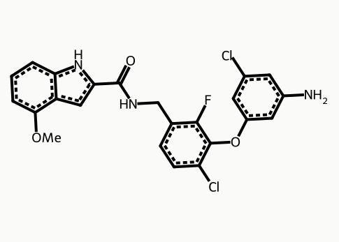 COc1cccc2[nH]c(C(=O)NCc3ccc(Cl)c(Oc4cc(N)cc(Cl)c4)c3F)cc12